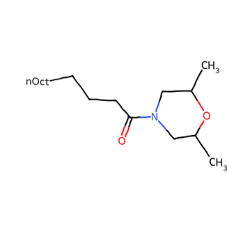 CCCCCCCCCCCC(=O)N1CC(C)OC(C)C1